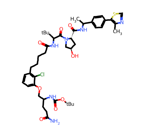 Cc1ncsc1-c1ccc(C(C)NC(=O)[C@@H]2C[C@@H](O)CN2C(=O)C(NC(=O)CCCCc2cccc(OCC(CCC(N)=O)NC(=O)OC(C)(C)C)c2Cl)C(C)(C)C)cc1